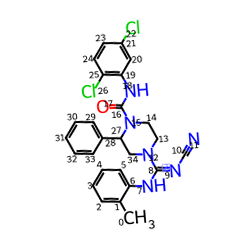 Cc1ccccc1N/C(=N/C#N)N1CCN(C(=O)Nc2cc(Cl)ccc2Cl)C(c2ccccc2)C1